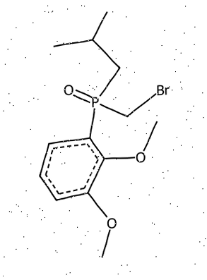 COc1cccc(P(=O)(CBr)CC(C)C)c1OC